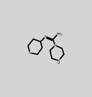 NC(=NC1CCOCC1)N1CCNCC1